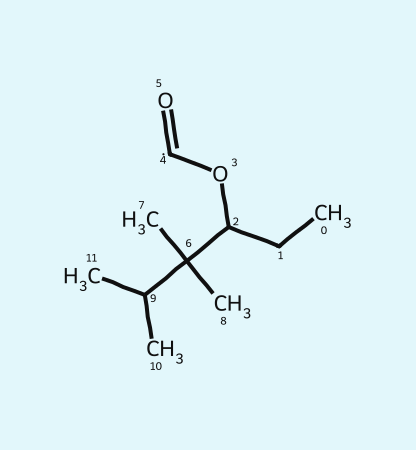 CCC(O[C]=O)C(C)(C)C(C)C